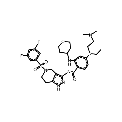 CCN(CCN(C)C)c1ccc(C(=O)Nc2n[nH]c3c2CN(S(=O)(=O)c2cc(F)cc(F)c2)CC3)c(NC2CCOCC2)c1